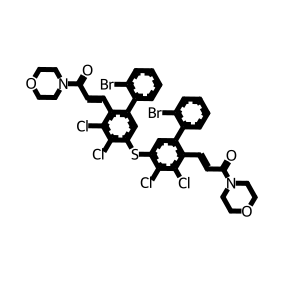 O=C(/C=C/c1c(-c2ccccc2Br)cc(Sc2cc(-c3ccccc3Br)c(/C=C/C(=O)N3CCOCC3)c(Cl)c2Cl)c(Cl)c1Cl)N1CCOCC1